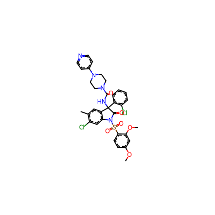 COc1ccc(S(=O)(=O)N2C(=O)C(NC(=O)N3CCN(c4ccncc4)CC3)(c3ccccc3Cl)c3cc(C)c(Cl)cc32)c(OC)c1